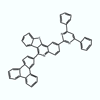 c1ccc(-c2cc(-c3ccccc3)nc(-c3ccc4nc(-c5ccc6c7ccccc7c7ccccc7c6c5)c5c6ccccc6sc5c4c3)n2)cc1